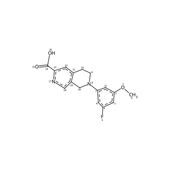 COc1cc(F)cc(N2CCc3cc(C(=O)O)ncc3C2)c1